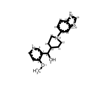 COc1ccncc1C(O)C1CCN(c2ccc3ncsc3c2)CC1